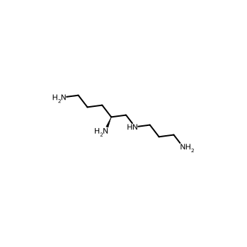 NCCCNC[C@@H](N)CCCN